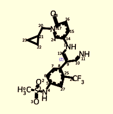 CS(=O)(=O)Nc1ccc(/C(C=N)=C/Nc2ccc(=O)n(CC3CC3)c2)c(C(F)(F)F)c1